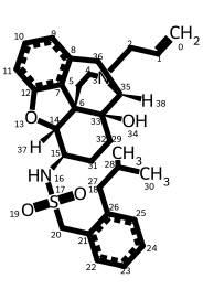 C=CCN1CC[C@]23c4c5cccc4O[C@H]2[C@H](NS(=O)(=O)Cc2ccccc2CC(C)C)CC[C@@]3(O)[C@H]1C5